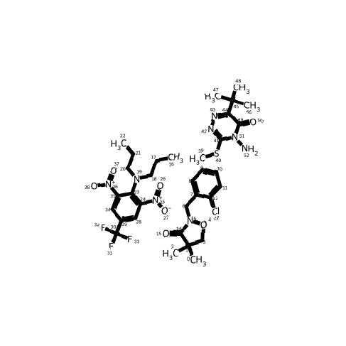 CC1(C)CON(Cc2ccccc2Cl)C1=O.CCCN(CCC)c1c([N+](=O)[O-])cc(C(F)(F)F)cc1[N+](=O)[O-].CSc1nnc(C(C)(C)C)c(=O)n1N